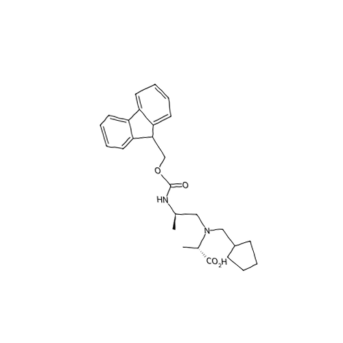 C[C@H](CN(CC1CCCC1)[C@@H](C)C(=O)O)NC(=O)OCC1c2ccccc2-c2ccccc21